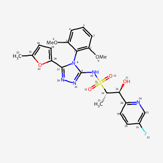 COc1cccc(OC)c1-n1c(NS(=O)(=O)[C@@H](C)[C@@H](O)c2ccc(F)cn2)nnc1-c1ccc(C)o1